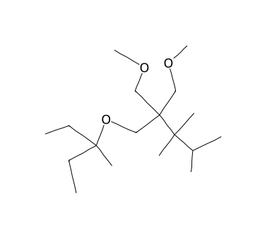 CCC(C)(CC)OCC(COC)(COC)C(C)(C)C(C)C